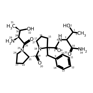 CC(O)C(NC(=O)C1(Cc2ccccc2)CCCN1C(=O)[C@@H]1CCCN1C(=O)[C@@H](N)[C@@H](C)O)C(N)=O